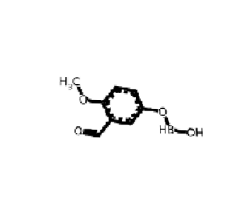 COc1ccc(OBO)cc1C=O